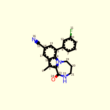 Cc1c2n(c3c(-c4cccc(F)c4)cc(C#N)cc13)CCCNC2=O